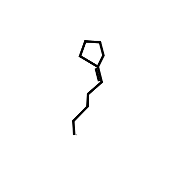 [CH2]CCCC=C1CCCC1